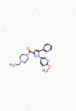 CCN1CCN(C(=O)c2cc(-c3ccccc3)n(-c3ccc(OC)nc3)n2)CC1